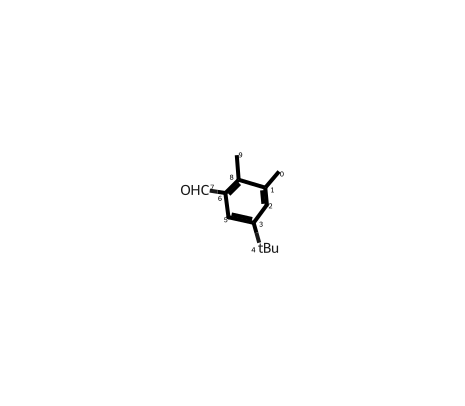 Cc1cc(C(C)(C)C)cc(C=O)c1C